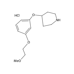 COCCOc1cccc(OC2CCNCC2)c1.Cl